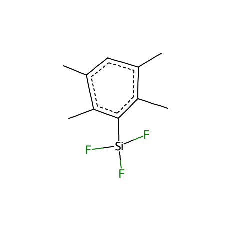 Cc1cc(C)c(C)c([Si](F)(F)F)c1C